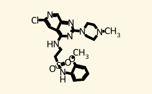 COc1ccccc1NS(=O)(=O)CCNc1nc(N2CCN(C)CC2)nc2cnc(Cl)cc12